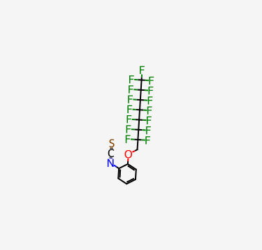 FC(F)(F)C(F)(F)C(F)(F)C(F)(F)C(F)(F)C(F)(F)C(F)(F)COc1ccccc1N=C=S